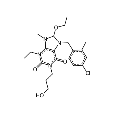 CCOC1N(C)c2c(c(=O)n(CCCO)c(=O)n2CC)N1Cc1ccc(Cl)cc1C